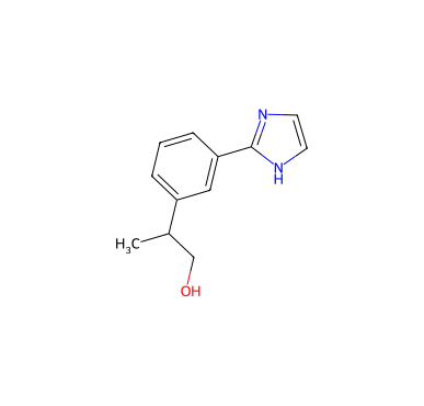 CC(CO)c1cccc(-c2ncc[nH]2)c1